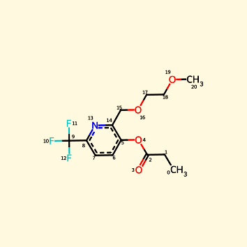 CCC(=O)Oc1ccc(C(F)(F)F)nc1COCCOC